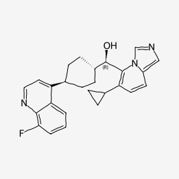 O[C@@H](c1c(C2CC2)ccc2cncn12)[C@H]1CC[C@H](c2ccnc3c(F)cccc32)CC1